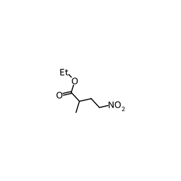 CCOC(=O)C(C)CC[N+](=O)[O-]